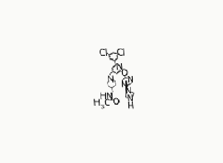 CC(=O)NCC1CCN(Cc2cc(Oc3cnc(N4CCNCC4)cn3)nc(-c3cc(Cl)cc(Cl)c3)c2)CC1